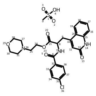 CS(=O)(=O)O.O=C(NC(Cc1cc(=O)[nH]c2ccccc12)C(=O)OCCN1CCOCC1)c1ccc(Cl)cc1